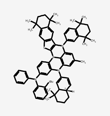 Cc1cc2c3c(c1)N(c1ccc4c(c1)C(C)(C)CCC4(C)C)c1c(sc4cc5c(cc14)C(C)(C)CCC5(C)C)B3c1ccc(N(c3ccccc3)c3ccccc3C(C)(C)C)cc1N2C1=CC2[C@H](C=C1)CCCC2(C)C